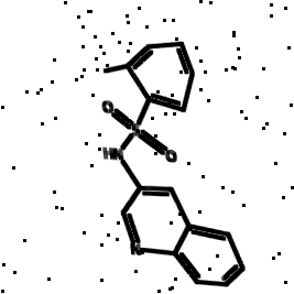 Cc1ccccc1S(=O)(=O)Nc1cnc2ccccc2c1